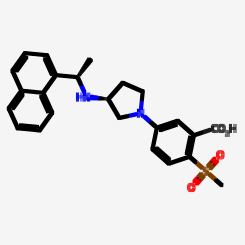 C[C@@H](N[C@H]1CCN(c2ccc(S(C)(=O)=O)c(C(=O)O)c2)C1)c1cccc2ccccc12